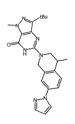 CC1CN(c2nc3c(C(C)(C)C)nn(C)c3c(=O)[nH]2)Cc2cc(-n3cccn3)ccc21